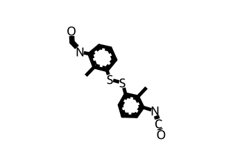 Cc1c(N=C=O)cccc1SSc1cccc(N=C=O)c1C